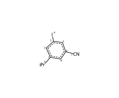 [CH2]C(C)c1cc(I)cc(C#N)c1